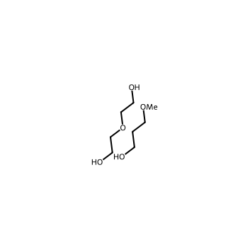 COCCCO.OCCOCCO